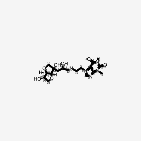 Cn1c(=O)c2c(ncn2CCNCC(O)C[C@]2(O)CO[C@@H]3[C@H](O)CO[C@@H]32)n(C)c1=O